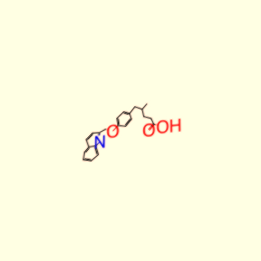 CC(CCC(=O)O)Cc1ccc(OCc2ccc3ccccc3n2)cc1